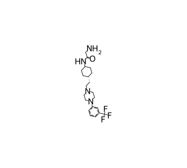 NCC(=O)N[C@H]1CC[C@H](CCN2CCN(c3cccc(C(F)(F)F)c3)CC2)CC1